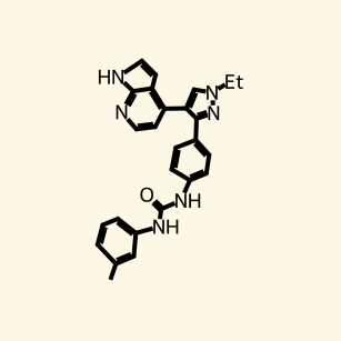 CCn1cc(-c2ccnc3[nH]ccc23)c(-c2ccc(NC(=O)Nc3cccc(C)c3)cc2)n1